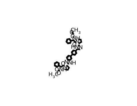 COCON[C@@H](C(=O)N1CCC[C@H]1C1=NCC(c2ccc(-c3ccc4nc([C@@H]5CCCN5C(=O)[C@H](NC(=O)OC)c5ccccc5)[nH]c4c3)cc2)N1)c1ccccc1